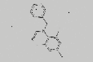 O=CN(Cc1ccccc1)c1c(F)cc(F)cc1F